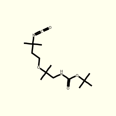 CC(C)(CCOC(C)(C)CNC(=O)OC(C)(C)C)N=C=O